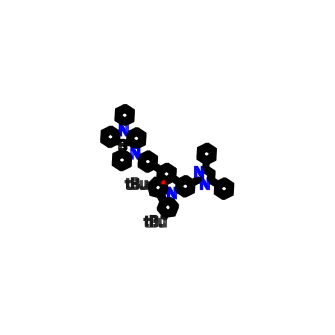 CC(C)(C)c1ccc2c(c1)c1cc(C(C)(C)C)ccc1n2-c1ccc(-c2nc(-c3ccccc3)cc(-c3ccccc3)n2)cc1-c1ccc(-c2ccc(N3c4ccccc4B4c5ccccc5N(c5ccccc5)c5cccc3c54)cc2)cc1